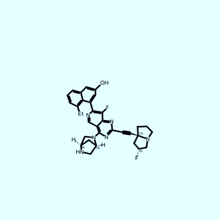 CCc1cccc2cc(O)cc(-c3ncc4c(N5C[C@H]6C[C@@H]5CN6)nc(C#C[C@@]56CCCN5C[C@H](F)C6)nc4c3F)c12